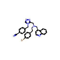 N#Cc1ccc(Cn2cnnc2CN(CCc2ccc(Br)cc2)Cc2ccnc3ccccc23)cc1